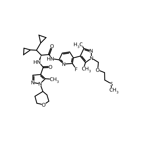 CSCCOCn1nc(C)c(-c2ccc(NC(=O)[C@@H](NC(=O)c3cnn(C4CCOCC4)c3C)C(C3CC3)C3CC3)nc2F)c1C